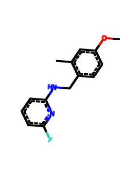 COc1ccc(CNc2cccc(F)n2)c(C)c1